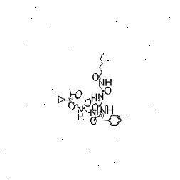 CCCCCC(=O)NCC(=O)NCC(=O)N[C@@H](Cc1ccccc1)C(=O)NCC(=O)NCO[C@H](C(C)=O)C1CC1